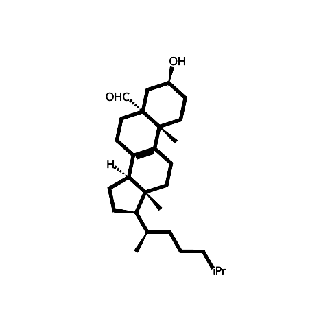 CC(C)CCC[C@@H](C)[C@H]1CC[C@H]2C3=C(CC[C@]12C)[C@@]1(C)CC[C@H](O)C[C@]1(C=O)CC3